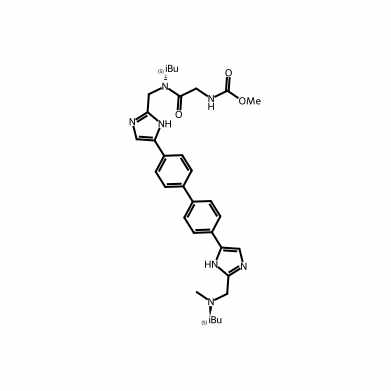 CC[C@H](C)N(C)Cc1ncc(-c2ccc(-c3ccc(-c4cnc(CN(C(=O)CNC(=O)OC)[C@@H](C)CC)[nH]4)cc3)cc2)[nH]1